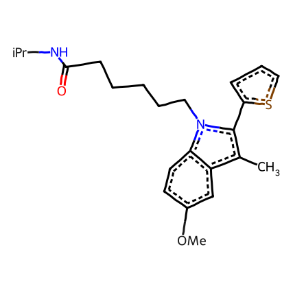 COc1ccc2c(c1)c(C)c(-c1cccs1)n2CCCCCC(=O)NC(C)C